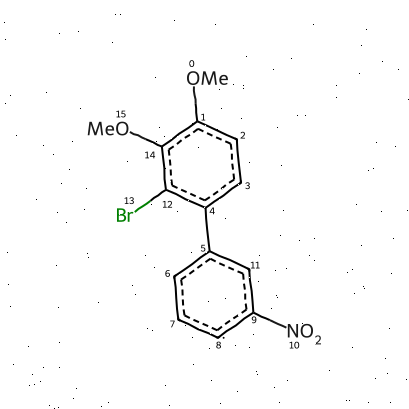 COc1ccc(-c2cc[c]c([N+](=O)[O-])c2)c(Br)c1OC